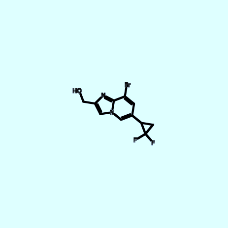 OCc1cn2cc(C3CC3(F)F)cc(Br)c2n1